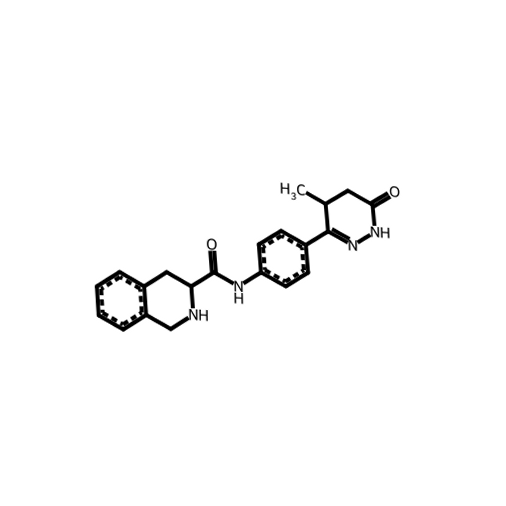 CC1CC(=O)NN=C1c1ccc(NC(=O)C2Cc3ccccc3CN2)cc1